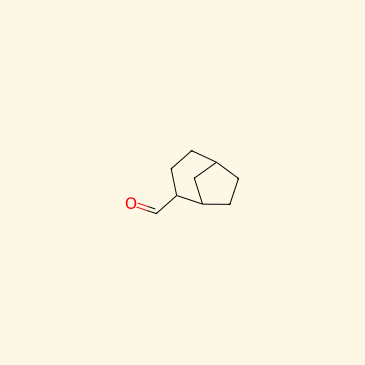 O=CC1CCC2CCC1C2